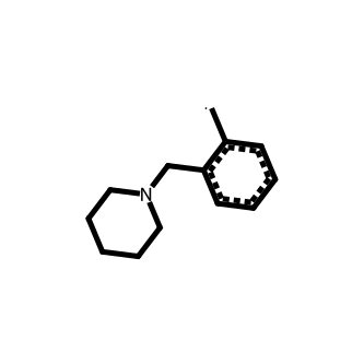 [CH2]c1ccccc1CN1CCCCC1